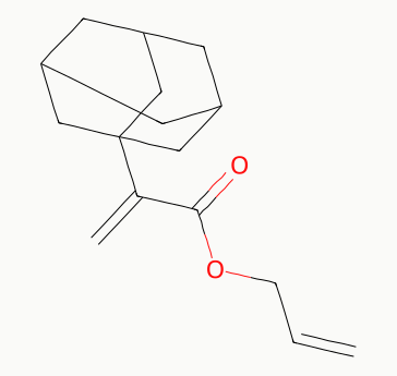 C=CCOC(=O)C(=C)C12CC3CC(CC(C3)C1)C2